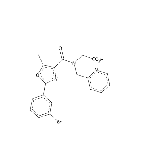 Cc1oc(-c2cccc(Br)c2)nc1C(=O)N(CC(=O)O)Cc1ccccn1